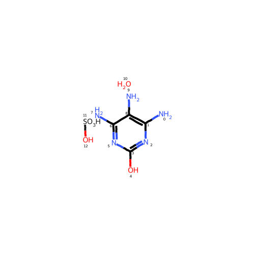 Nc1nc(O)nc(N)c1N.O.O=S(=O)(O)O